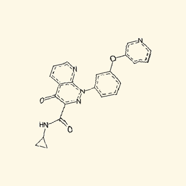 O=C(NC1CC1)c1nn(-c2cccc(Oc3cccnc3)c2)c2ncccc2c1=O